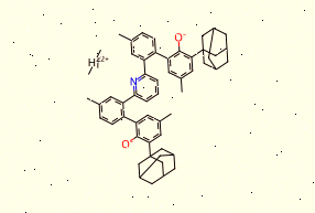 Cc1ccc(-c2cc(C)cc(C34CC5CC(CC(C5)C3)C4)c2[O-])c(-c2cccc(-c3cc(C)ccc3-c3cc(C)cc(C45CC6CC(CC(C6)C4)C5)c3[O-])n2)c1.[CH3][Hf+2][CH3]